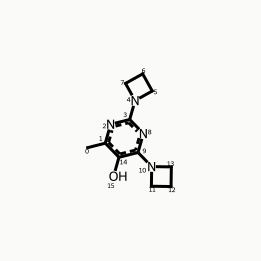 Cc1nc(N2CCC2)nc(N2CCC2)c1O